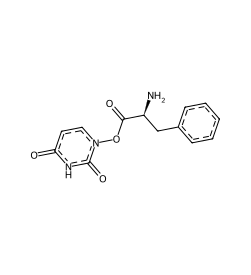 N[C@@H](Cc1ccccc1)C(=O)On1ccc(=O)[nH]c1=O